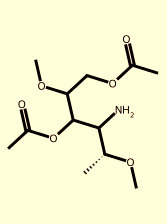 COC(COC(C)=O)C(OC(C)=O)C(N)[C@@H](C)OC